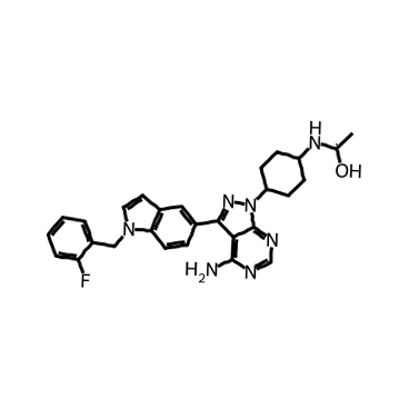 C[C](O)NC1CCC(n2nc(-c3ccc4c(ccn4Cc4ccccc4F)c3)c3c(N)ncnc32)CC1